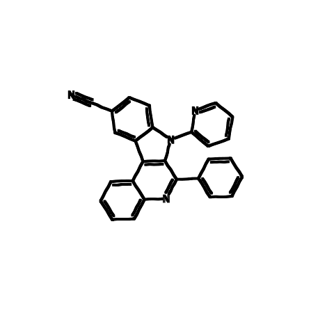 N#Cc1ccc2c(c1)c1c3ccccc3nc(-c3ccccc3)c1n2-c1ccccn1